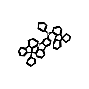 c1ccc(N(c2ccc3c(c2)oc2c(C4(c5ccccc5)c5ccccc5-c5ccccc54)cccc23)c2cccc3c2-c2ccccc2C32CCCC2)cc1